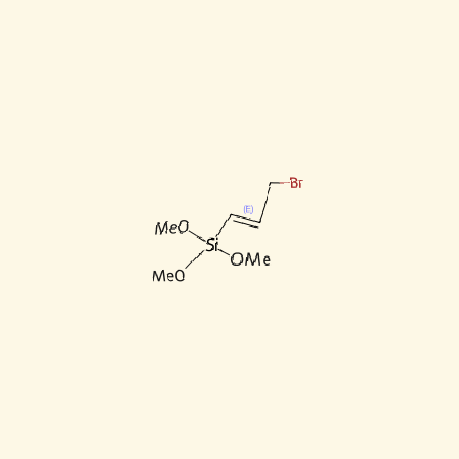 CO[Si](/C=C/CBr)(OC)OC